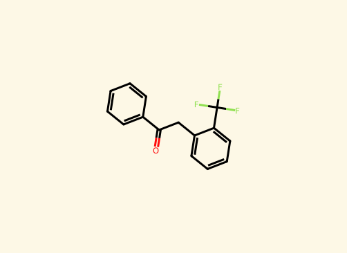 O=C(Cc1ccccc1C(F)(F)F)c1ccccc1